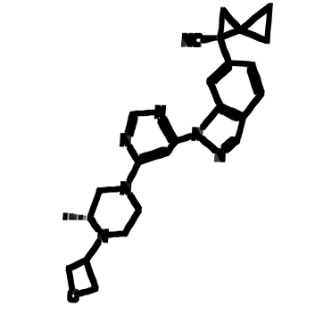 C[C@@H]1CN(c2cc(-n3ncc4ccc([C@]5(C#N)CC56CC6)cc43)ncn2)CCN1C1COC1